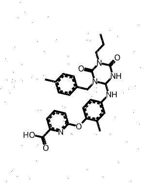 CCCN1C(=O)NC(Nc2ccc(Oc3cccc(C(=O)O)n3)c(C)c2)N(Cc2ccc(C)cc2)C1=O